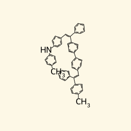 Cc1ccc(Nc2ccc(C=C(c3ccccc3)c3ccc(-c4ccc(C=C(c5ccccc5)c5ccc(C)cc5)cc4)cc3)cc2)cc1